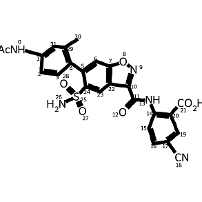 CC(=O)Nc1ccc(-c2cc3onc(C(=O)Nc4ccc(C#N)cc4C(=O)O)c3cc2S(N)(=O)=O)c(C)c1